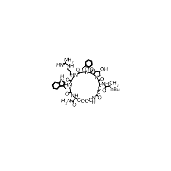 CCCC[C@H](C)C(=O)N[C@H]1CCC(=O)NCCCC[C@@H](C(N)=O)NC(=O)[C@H](Cc2c[nH]c3ccccc23)NC(=O)[C@H](CCCNC(=N)N)NC(=O)[C@@H](Cc2ccccc2)NC(=O)[C@@H]2C[C@@H](O)CN2C1=O